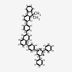 CC1(C)c2ccccc2-c2ccc(-c3ccc(-c4ccc5c(-c6ccc(-c7cc(-c8ccccc8)nc(-c8ccccc8)n7)cc6)cccc5c4)cc3)cc21